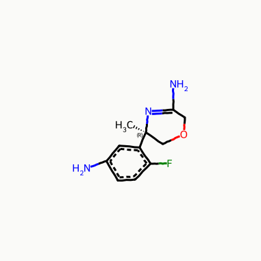 C[C@@]1(c2cc(N)ccc2F)COCC(N)=N1